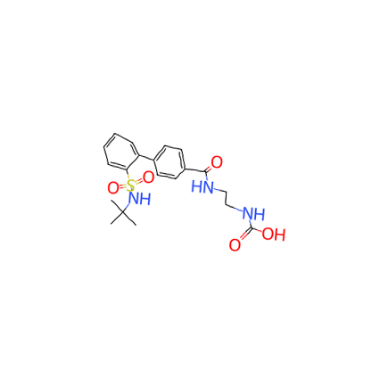 CC(C)(C)NS(=O)(=O)c1ccccc1-c1ccc(C(=O)NCCNC(=O)O)cc1